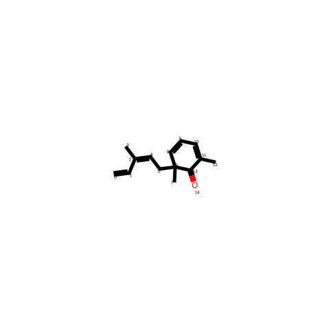 C=CC(C)=CCC1(C)C=CC=C(C)C1=O